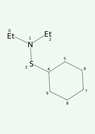 CCN(CC)SC1CCCCC1